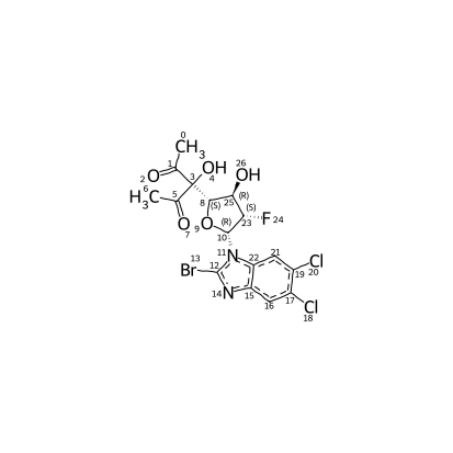 CC(=O)C(O)(C(C)=O)[C@H]1O[C@@H](n2c(Br)nc3cc(Cl)c(Cl)cc32)[C@@H](F)[C@@H]1O